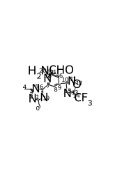 Cc1nc(C)nc(-c2cc(-c3noc(C(F)(F)F)n3)ccn2)n1.NC=O